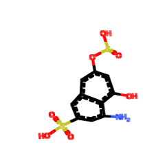 Nc1cc(S(=O)(=O)O)cc2cc(OS(=O)O)cc(O)c12